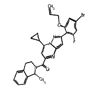 C=CCOc1cc(Br)cc(F)c1-c1cc2nc(C(=O)N3CCc4ccccc4C3C)cc(C3CC3)n2n1